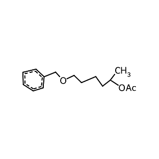 CC(=O)OC(C)CCCCOCc1ccccc1